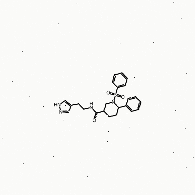 O=C(NCCc1cn[nH]c1)C1CCC(c2ccccc2)N(S(=O)(=O)c2ccccc2)C1